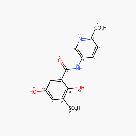 O=C(O)c1ccc(NC(=O)c2cc(O)cc(S(=O)(=O)O)c2O)cn1